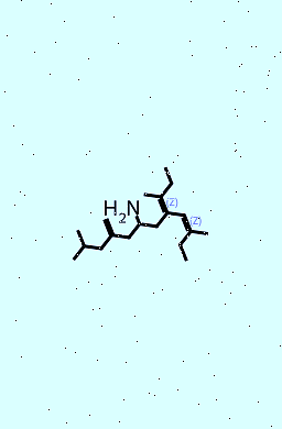 C=C(CC(C)C)CC(N)CC(/C=C(/C)CC)=C(\C)CC